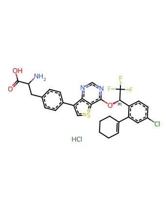 Cl.NC(Cc1ccc(-c2csc3c(O[C@H](c4ccc(Cl)cc4C4=CCCCC4)C(F)(F)F)ncnc23)cc1)C(=O)O